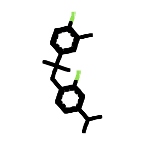 Cc1cc(C(C)(C)Cc2ccc(C(C)C)cc2F)ccc1F